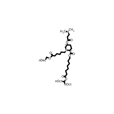 CCCCCCCCCCCOC(=O)CCCCCN1C[C@@H](OC(=O)CCN(C)C)CC[C@H]1C(=O)OCCCCCCCC(=O)OC(CCCCCCCC)CCCCCCCC